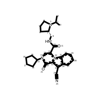 CC(C)N1CCC[C@H]1CNC(=O)c1cn(C2CCCC2)c(=O)c2c(C#N)c3ccccc3n12